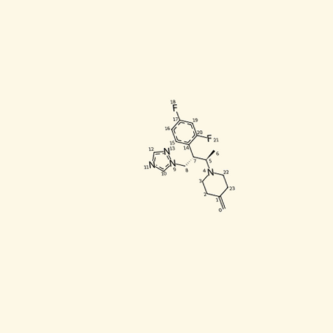 C=C1CCN([C@H](C)[C@H](Cn2cncn2)c2ccc(F)cc2F)CC1